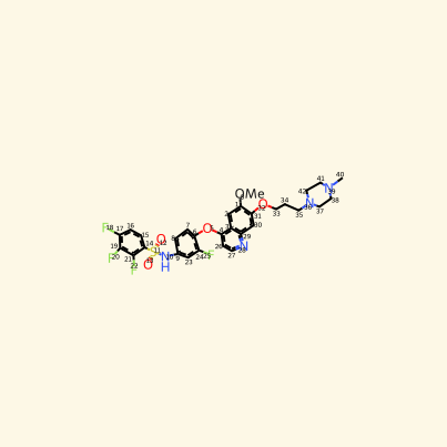 COc1cc2c(Oc3ccc(NS(=O)(=O)c4ccc(F)c(F)c4F)cc3F)ccnc2cc1OCCCN1CCN(C)CC1